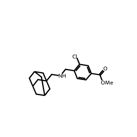 COC(=O)c1ccc(CNCC23CC4CC(CC(C4)C2)C3)c(Cl)c1